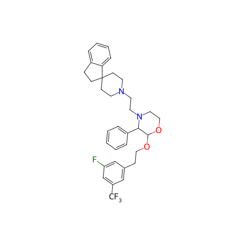 Fc1cc(CCOC2OCCN(CCN3CCC4(CCc5ccccc54)CC3)C2c2ccccc2)cc(C(F)(F)F)c1